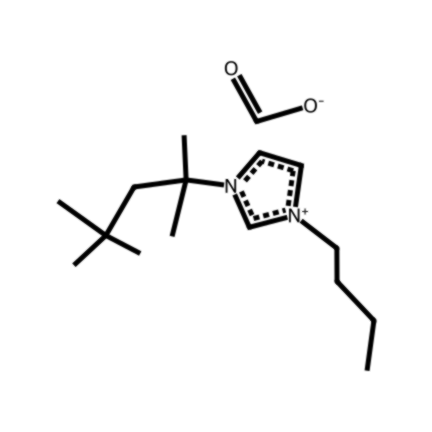 CCCC[n+]1ccn(C(C)(C)CC(C)(C)C)c1.O=C[O-]